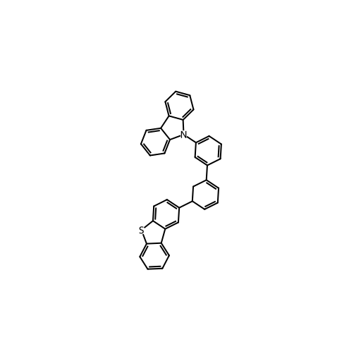 C1=CC(c2ccc3sc4ccccc4c3c2)CC(c2cccc(-n3c4ccccc4c4ccccc43)c2)=C1